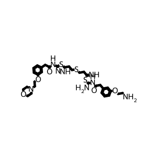 N=C(CCSCCC1NN=C(NC(=O)Cc2cccc(OCCN3CCOCC3)c2)S1)SC(N)NC(=O)Cc1cccc(OCCN)c1